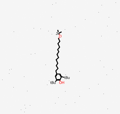 CC(C)(C)c1cc(CCCCCCCCCCCCCO[Si](C)(C)C)cc(C(C)(C)C)c1O